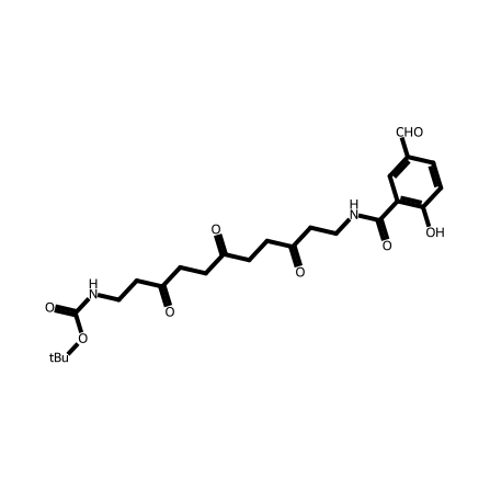 CC(C)(C)OC(=O)NCCC(=O)CCC(=O)CCC(=O)CCNC(=O)c1cc(C=O)ccc1O